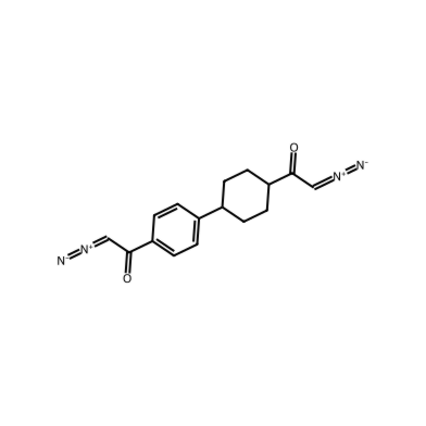 [N-]=[N+]=CC(=O)c1ccc(C2CCC(C(=O)C=[N+]=[N-])CC2)cc1